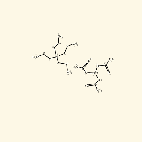 CC(=O)O[BH-](OC(C)=O)OC(C)=O.CCC[N+](CCC)(CCC)CCC